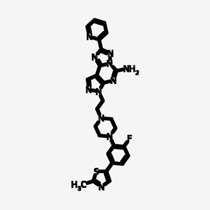 Cc1ncc(-c2ccc(F)c(N3CCN(CCn4ncc5c4nc(N)n4nc(-c6ccccn6)nc54)CC3)c2)s1